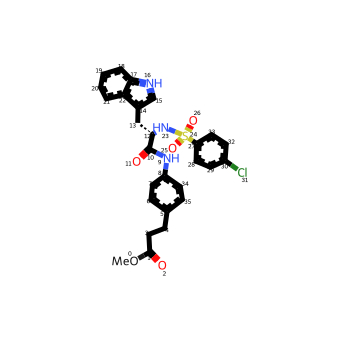 COC(=O)CCc1ccc(NC(=O)[C@H](Cc2c[nH]c3ccccc23)NS(=O)(=O)c2ccc(Cl)cc2)cc1